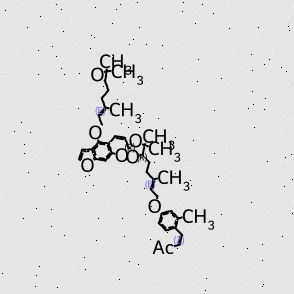 CC(=O)/C=C\c1ccc(OC/C=C(\C)CC[C@H]2O[C@@]3(C=Cc4c(cc5occc5c4OC/C=C(\C)CCC4OC4(C)C)O3)OC2(C)C)cc1C